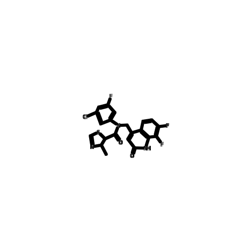 CC1N=CSC1C(=O)N(Cc1cc(=O)[nH]c2c(F)c(F)ccc12)c1cc(F)cc(Cl)c1